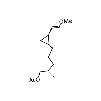 COC=C[C@@H]1C[C@@H]1CCC[C@H](C)COC(C)=O